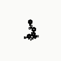 Nc1n[nH]c2cc(C3CCCN(C(=O)OCc4ccccc4)C3)nc(-c3ccc(Br)cc3)c12